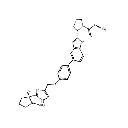 CC(C)(C)OC(=O)N1CCC[C@H]1c1nc2cc(-c3ccc(CCc4c[nH]c([C@@]5(C(C)(C)C)CCCN5C(=O)O)n4)cc3)ccc2[nH]1